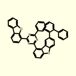 c1ccc(-c2nc(-c3cccc4c3oc3ccccc34)nc(-c3cccc4oc5ccc(-c6ccccc6-c6ccccc6)cc5c34)n2)cc1